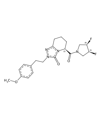 COc1ccc(CCn2nc3n(c2=O)[C@H](C(=O)N2C[C@@H](F)[C@@H](F)C2)CCC3)cc1